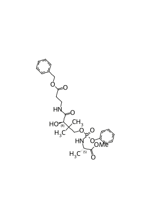 COC(=O)[C@H](C)NP(=O)(OCC(C)(C)[C@@H](O)C(=O)NCCC(=O)OCc1ccccc1)Oc1ccccc1